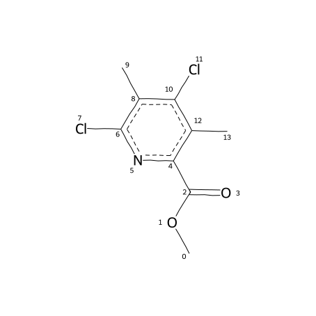 COC(=O)c1nc(Cl)c(C)c(Cl)c1C